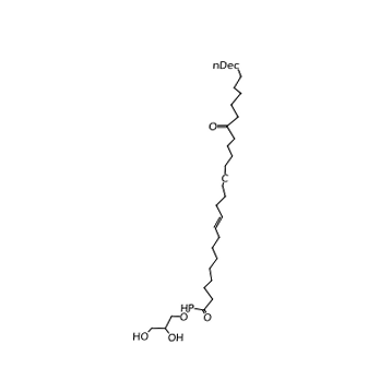 CCCCCCCCCCCCCCCC(=O)CCCCCCCCC=CCCCCCCCC(=O)POCC(O)CO